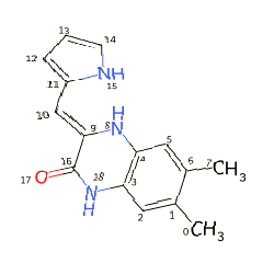 Cc1cc2c(cc1C)NC(=Cc1ccc[nH]1)C(=O)N2